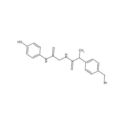 CC(C)Cc1ccc(C(C)C(=O)NCC(=O)Nc2ccc(O)cc2)cc1